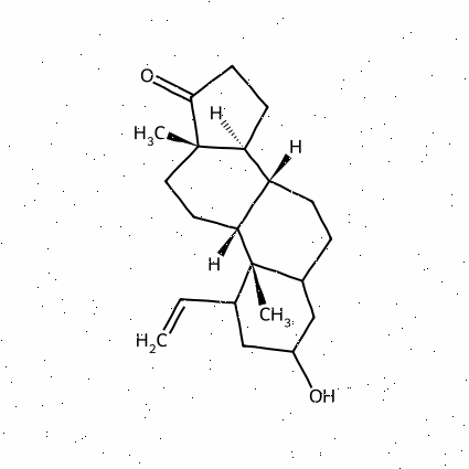 C=CC1CC(O)CC2CC[C@@H]3[C@@H](CC[C@]4(C)C(=O)CC[C@@H]34)[C@@]12C